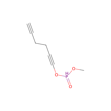 C#CCCC#CO[PH](=O)OC